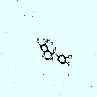 CSc1cc2ncnc(Nc3ccc(F)c(Cl)c3)c2cc1N